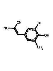 Cc1cc(C=C(C#N)C#N)cc(Br)c1O